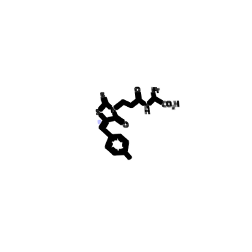 Cc1ccc(/C=C2/SC(=S)N(CCC(=O)NC(C(=O)O)C(C)C)C2=O)cc1